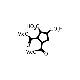 COC(=O)C1CC(C(=O)O)C(C(=O)O)C1C(=O)OC